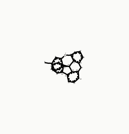 Cc1ccc2c(c1)Oc1cccc3c1C21c2ccccc2-c2cccc(c21)C3